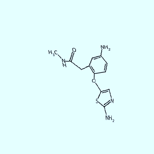 CNC(=O)Cc1cc(N)ccc1Oc1cnc(N)s1